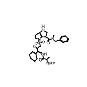 CNC(C)C(=O)NC(C(=O)CS(=O)(=O)N1CCC2NCC(C(=O)N(C)Cc3ccccc3)C21)C1CCCCC1